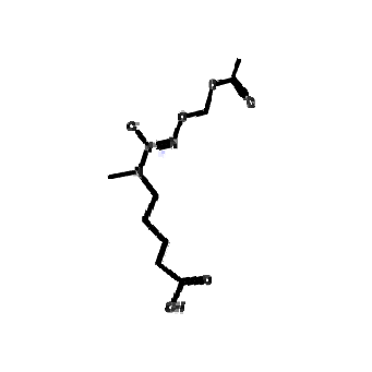 CC(=O)OCO/N=[N+](\[O-])N(C)CCCCC(=O)O